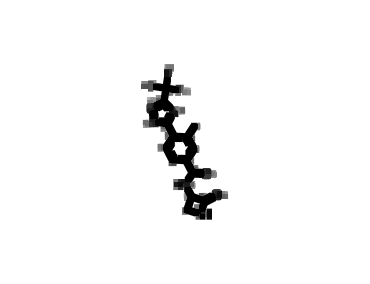 Cc1cc(C(=O)NC2CNC2=O)ccc1-c1noc(C(F)(F)F)n1